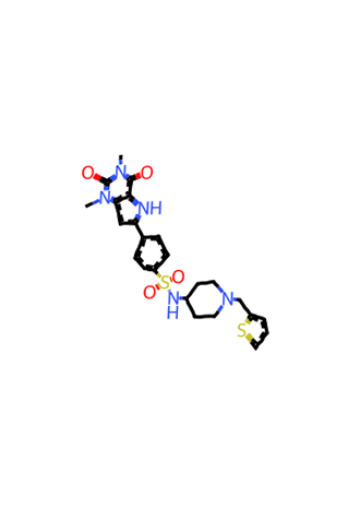 Cn1c(=O)c2[nH]c(-c3ccc(S(=O)(=O)NC4CCN(Cc5cccs5)CC4)cc3)cc2n(C)c1=O